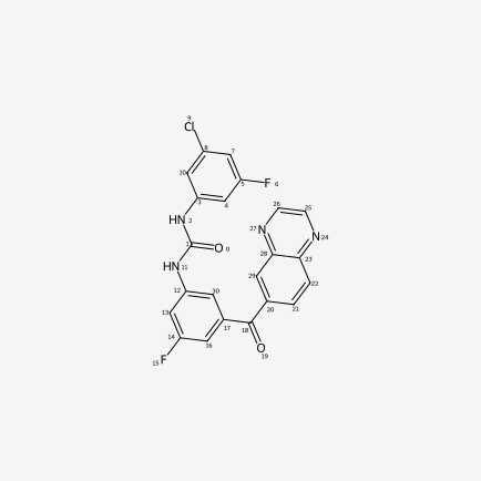 O=C(Nc1cc(F)cc(Cl)c1)Nc1cc(F)cc(C(=O)c2ccc3nccnc3c2)c1